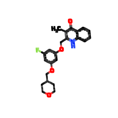 Cc1c(COc2cc(F)cc(OCC3CCOCC3)c2)[nH]c2ccccc2c1=O